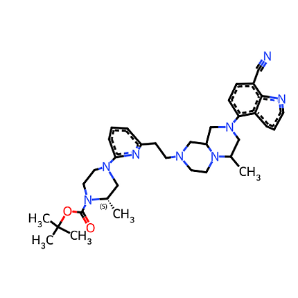 CC1CN(c2ccc(C#N)c3ncccc23)CC2CN(CCc3cccc(N4CCN(C(=O)OC(C)(C)C)[C@@H](C)C4)n3)CCN12